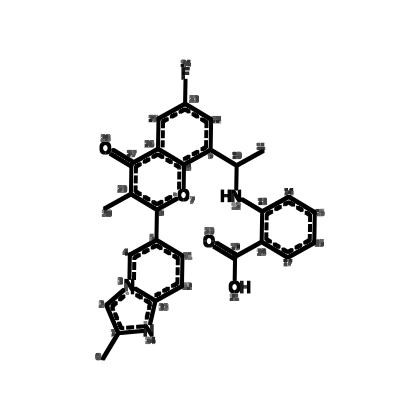 Cc1cn2cc(-c3oc4c(C(C)Nc5ccccc5C(=O)O)cc(F)cc4c(=O)c3C)ccc2n1